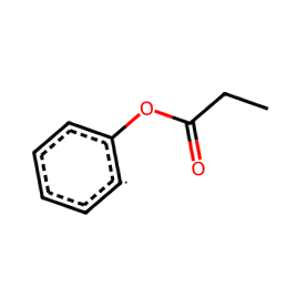 CCC(=O)Oc1[c]cccc1